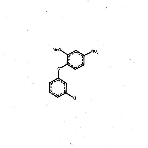 COc1cc([N+](=O)[O-])ccc1Oc1cccc(Cl)c1